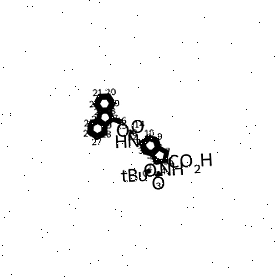 CC(C)(C)OC(=O)NC1(C(=O)O)Cc2ccc(NC(=O)OCC3c4ccccc4-c4ccccc43)cc2C1